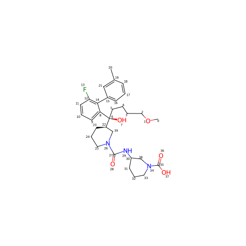 COCCCC[C@@](O)(c1cccc(F)c1-c1cccc(C)c1)[C@@H]1CCCN(C(=O)NC2CCCN(C(=O)O)C2)C1